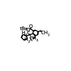 C=Cc1cc(C=C)c(C(C)(C)c2ccccc2)c(C(=O)OC(C)(C)C)c1